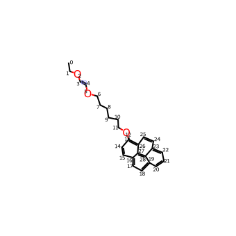 CCO/C=C/OCCCCCCOc1ccc2ccc3cccc4ccc1c2c34